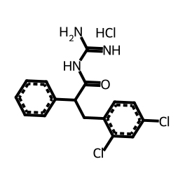 Cl.N=C(N)NC(=O)C(Cc1ccc(Cl)cc1Cl)c1ccccc1